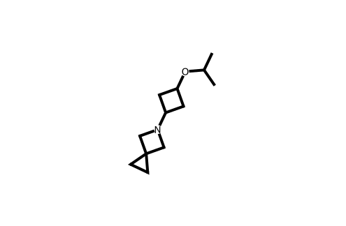 CC(C)OC1CC(N2CC3(CC3)C2)C1